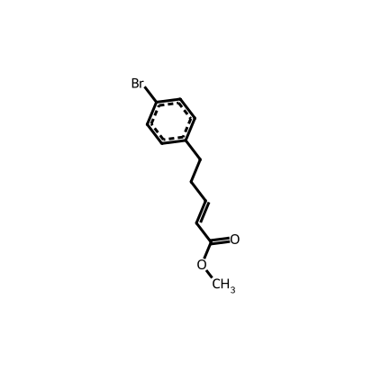 COC(=O)/C=C/CCc1ccc(Br)cc1